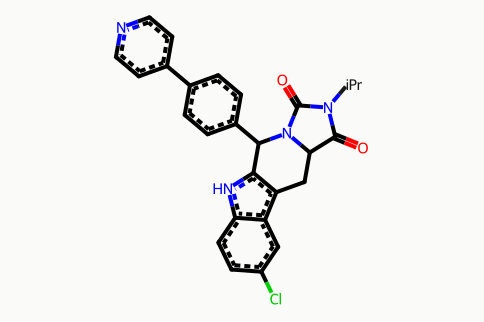 CC(C)N1C(=O)C2Cc3c([nH]c4ccc(Cl)cc34)C(c3ccc(-c4ccncc4)cc3)N2C1=O